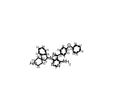 Nc1ncnc2c1c(-c1ccc(Oc3ccccc3)cc1)nn2C1CC2(CCNCC2)c2ccccc21